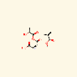 C=C(C)C(=O)OC.CC(O)C(=O)OC(=O)/C=C\C(=O)O